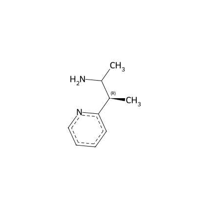 CC(N)[C@@H](C)c1ccccn1